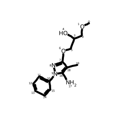 COCC(O)COc1nn(-c2ccccc2)c(N)c1C